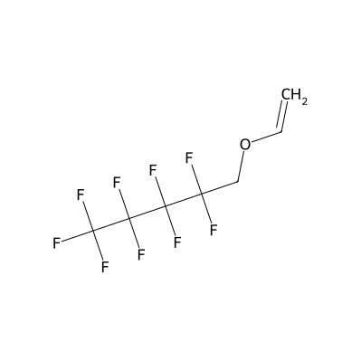 C=COCC(F)(F)C(F)(F)C(F)(F)C(F)(F)F